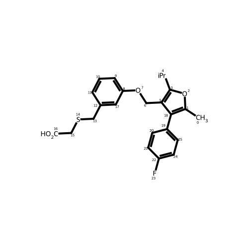 Cc1oc(C(C)C)c(COc2cccc(CSCC(=O)O)c2)c1-c1ccc(F)cc1